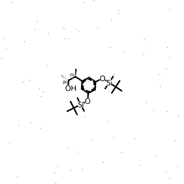 C[C@@H](O)[C@@H](C)c1cc(O[Si](C)(C)C(C)(C)C)cc(O[Si](C)(C)C(C)(C)C)c1